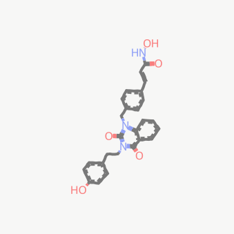 O=C(/C=C/c1ccc(Cn2c(=O)n(CCc3ccc(O)cc3)c(=O)c3ccccc32)cc1)NO